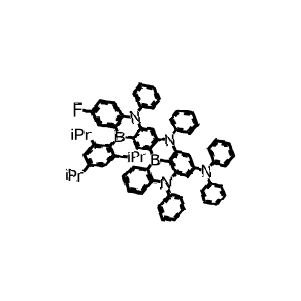 CC(C)c1cc(C(C)C)c(B2c3cc(F)ccc3N(c3ccccc3)c3cc4c(cc32)B2c3ccccc3N(c3ccccc3)c3cc(N(c5ccccc5)c5ccccc5)cc(c32)N4c2ccccc2)c(C(C)C)c1